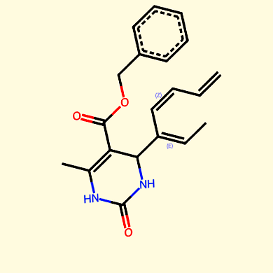 C=C/C=C\C(=C/C)C1NC(=O)NC(C)=C1C(=O)OCc1ccccc1